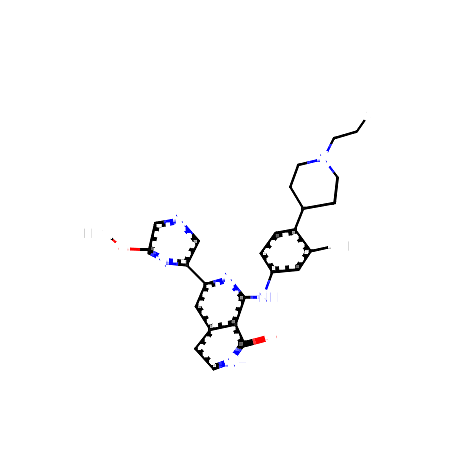 CCCN1CCC(c2ccc(Nc3nc(-c4cncc(OC)n4)cc4cc[nH]c(=O)c34)cc2C)CC1